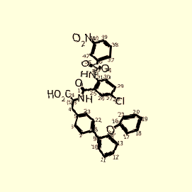 O=C(N[C@@H](Cc1ccc(-c2ccccc2Oc2ccccc2)cc1)C(=O)O)c1cc(Cl)ccc1NS(=O)(=O)c1cccc([N+](=O)[O-])c1